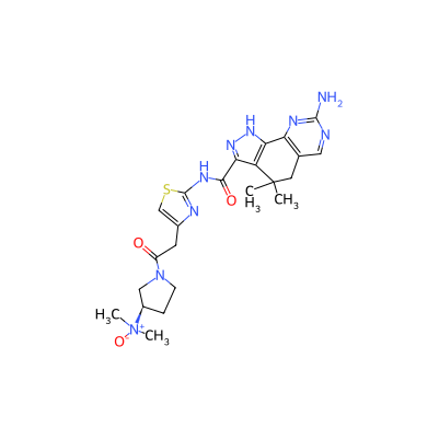 CC1(C)Cc2cnc(N)nc2-c2[nH]nc(C(=O)Nc3nc(CC(=O)N4CC[C@@H]([N+](C)(C)[O-])C4)cs3)c21